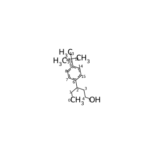 CCC(CCO)c1ccc(C(C)(C)C)cc1